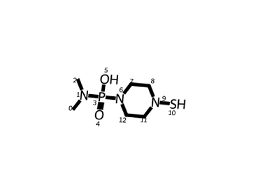 CN(C)P(=O)(O)N1CCN(S)CC1